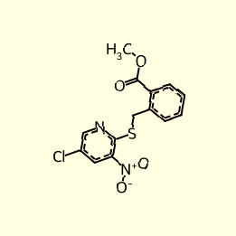 COC(=O)c1ccccc1CSc1ncc(Cl)cc1[N+](=O)[O-]